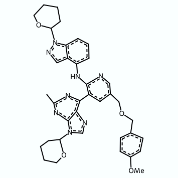 COc1ccc(COCc2cnc(Nc3cccc4c3cnn4C3CCCCO3)c(-c3nc(C)nc4c3ncn4C3CCCCO3)c2)cc1